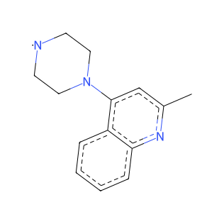 Cc1cc(N2CC[N]CC2)c2ccccc2n1